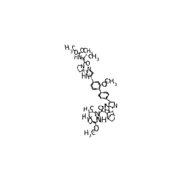 COC(=O)N[C@H](C(=O)N1CCC[C@H]1c1ncc(-c2ccc(-c3ccc(-c4cnc(C5C6CCC(C6)C5C(=O)N(NC(=O)OC)C(C)C)[nH]4)cc3)c(OC)c2)[nH]1)C(C)C